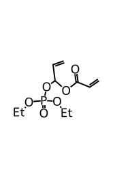 C=CC(=O)OC(C=C)OP(=O)(OCC)OCC